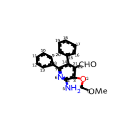 COCOc1c(N)nc(-c2ccccc2)c(-c2ccccc2)c1C=O